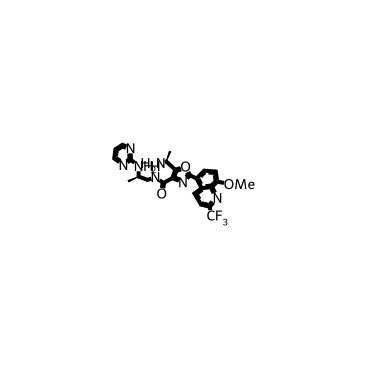 COc1ccc(-c2nc(C(=O)NC[C@@H](C)Nc3ncccn3)c([C@H](C)N)o2)c2ccc(C(F)(F)F)nc12